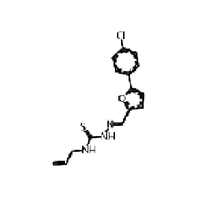 C=CCNC(=S)NN=Cc1ccc(-c2ccc(Cl)cc2)o1